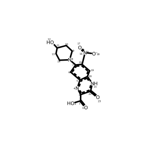 O=C(O)c1nc2cc(N3CCC(O)CC3)c([N+](=O)[O-])cc2[nH]c1=O